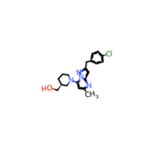 Cc1cc(N2CCC[C@H](CO)C2)n2nc(Cc3ccc(Cl)cc3)cc2n1